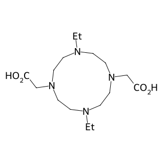 CCN1CCN(CC(=O)O)CCN(CC)CCN(CC(=O)O)CC1